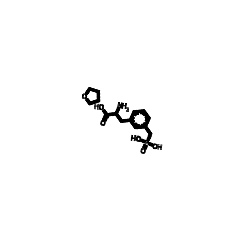 C1CCOC1.NC(Cc1cccc(CP(=O)(O)O)c1)C(=O)O